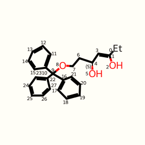 CCC(O)=C[C@@H](O)CCOC(c1ccccc1)(c1ccccc1)c1ccccc1